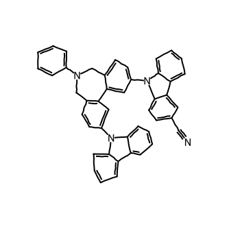 N#Cc1ccc2c(c1)c1ccccc1n2-c1ccc2c(c1)-c1cc(-n3c4ccccc4c4ccccc43)ccc1CN(c1ccccc1)C2